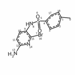 Cc1ccc(S(=O)(=O)Nc2ccc(N)nc2Br)cc1